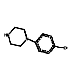 CCc1ccc(N2CCNCC2)cc1